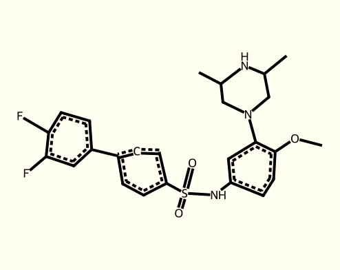 COc1ccc(NS(=O)(=O)c2ccc(-c3ccc(F)c(F)c3)cc2)cc1N1CC(C)NC(C)C1